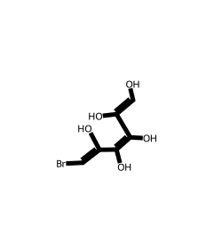 O/C=C(O)/C(O)=C(O)\C(O)=C\Br